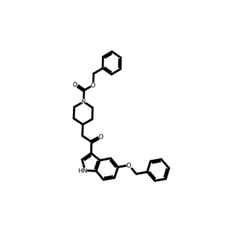 O=C(CC1CCN(C(=O)OCc2ccccc2)CC1)c1c[nH]c2ccc(OCc3ccccc3)cc12